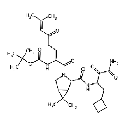 CC(C)=CC(=O)CC[C@H](NC(=O)OC(C)(C)C)C(=O)N1CC2C(C1C(=O)NC(CC1CCC1)C(=O)C(N)=O)C2(C)C